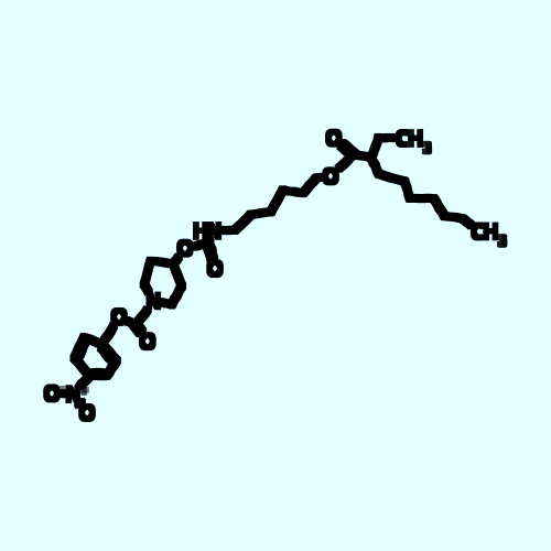 CCCCCCCC(CC)C(=O)OCCCCCCNC(=O)OC1CCN(C(=O)Oc2ccc([N+](=O)[O-])cc2)CC1